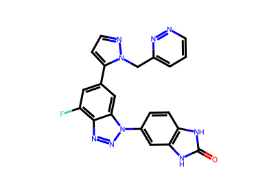 O=c1[nH]c2ccc(-n3nnc4c(F)cc(-c5ccnn5Cc5cccnn5)cc43)cc2[nH]1